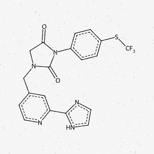 O=C1CN(Cc2ccnc(-c3ncc[nH]3)c2)C(=O)N1c1ccc(SC(F)(F)F)cc1